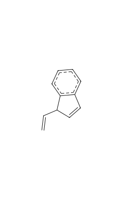 C=CC1C=Cc2ccccc21